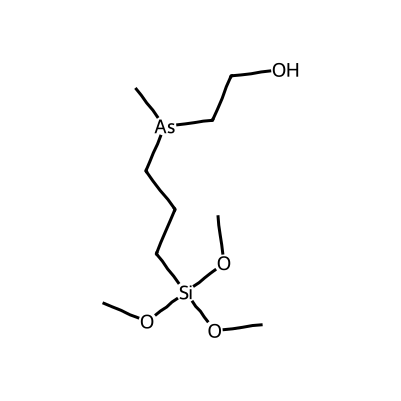 CO[Si](CCC[As](C)CCO)(OC)OC